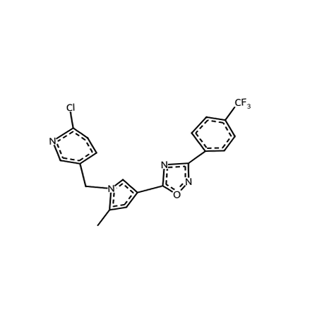 Cc1cc(-c2nc(-c3ccc(C(F)(F)F)cc3)no2)cn1Cc1ccc(Cl)nc1